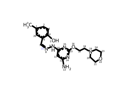 Cc1ccc(O)c(/C=N\Nc2cc(N)nc(OCCN3CCOCC3)n2)c1